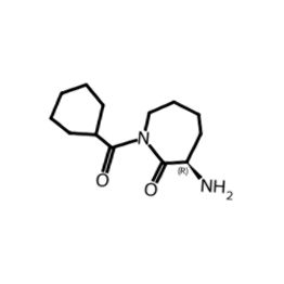 N[C@@H]1CCCCN(C(=O)C2CCCCC2)C1=O